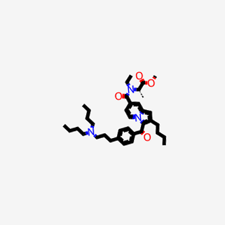 CCCCc1cc2cc(C(=O)N(CC)[C@@H](C)C(=O)OC)ccn2c1C(=O)c1ccc(CCCN(CCCC)CCCC)cc1